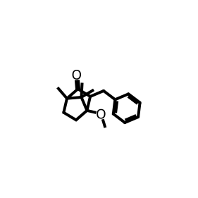 COC12CCC(C)(C(=O)C1Cc1ccccc1)C2(C)C